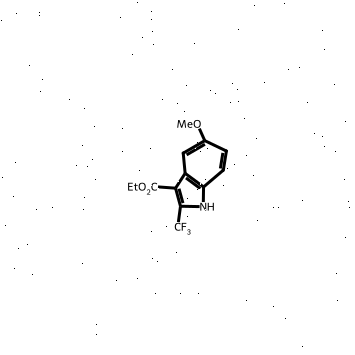 CCOC(=O)c1c(C(F)(F)F)[nH]c2ccc(OC)cc12